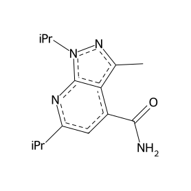 Cc1nn(C(C)C)c2nc(C(C)C)cc(C(N)=O)c12